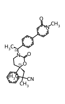 C[C@@H](c1ccc(-c2ccn(C)c(=O)c2)cc1)N1CC[C@@](CC(C)(C)C#N)(c2ccccc2)OC1=O